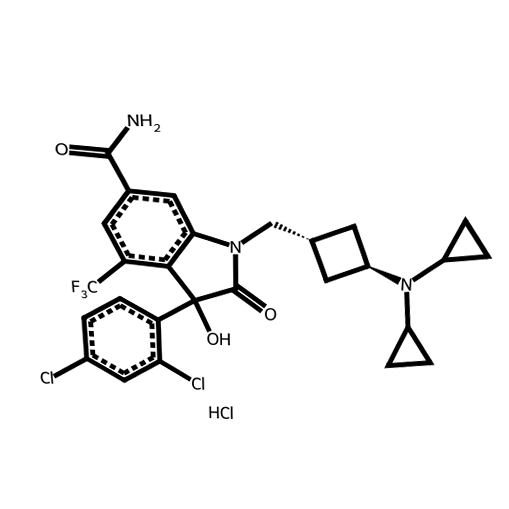 Cl.NC(=O)c1cc2c(c(C(F)(F)F)c1)C(O)(c1ccc(Cl)cc1Cl)C(=O)N2C[C@H]1C[C@H](N(C2CC2)C2CC2)C1